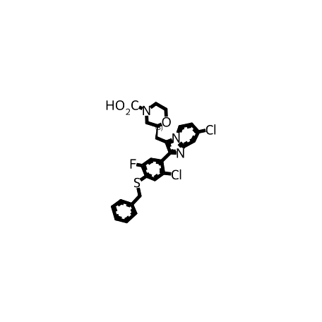 O=C(O)N1CCO[C@@H](Cc2c(-c3cc(F)c(SCc4ccccc4)cc3Cl)nc3cc(Cl)ccn23)C1